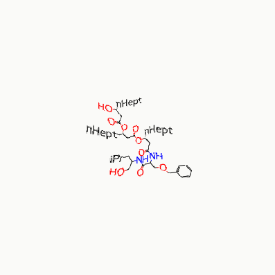 CCCCCCC[C@@H](O)CC(=O)O[C@H](CCCCCCC)CC(=O)O[C@H](CCCCCCC)CC(=O)NC(COCc1ccccc1)C(=O)NC(CO)CC(C)C